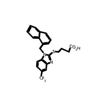 O=C(O)CCCSc1nc2cc(C(F)(F)F)ccc2n1Cc1cccc2ccccc12